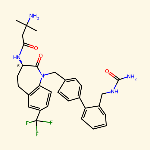 CC(C)(N)CC(=O)N[C@@H]1CCc2cc(C(F)(F)F)ccc2N(Cc2ccc(-c3ccccc3CNC(N)=O)cc2)C1=O